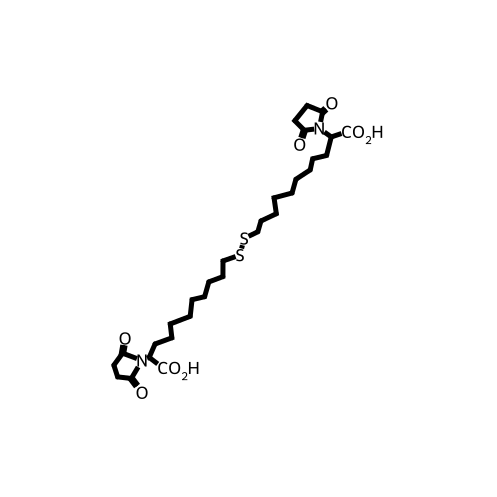 O=C(O)C(CCCCCCCCCSSCCCCCCCCCC(C(=O)O)N1C(=O)CCC1=O)N1C(=O)CCC1=O